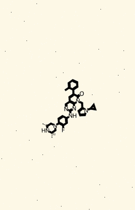 Cc1ccccc1-c1cc2cnc(Nc3ccc(N4C[C@@H](C)N[C@@H](C)C4)c(F)c3)nc2n(Cc2cccn2C2CC2)c1=O